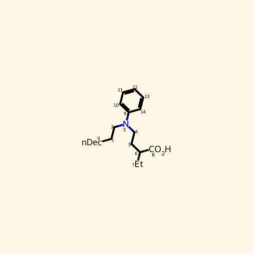 CCCCCCCCCCCCN(CCC(CC)C(=O)O)c1ccccc1